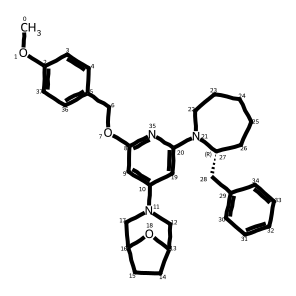 COc1ccc(COc2cc(N3CC4CCC(C3)O4)cc(N3CCCCC[C@@H]3Cc3ccccc3)n2)cc1